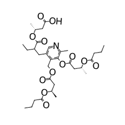 CCCC(=O)O[C@H](C)CC(=O)OCc1c(CC(CC)C(=O)O[C@H](C)CC(=O)O)cnc(C)c1OC(=O)C[C@@H](C)OC(=O)CCC